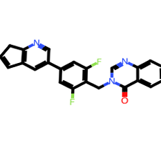 O=c1c2ccccc2ncn1Cc1c(F)cc(-c2cnc3c(c2)C=CC3)cc1F